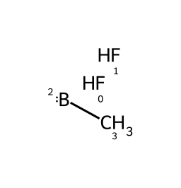 F.F.[B]C